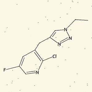 CCn1cc(Cc2cc(F)cnc2Cl)nn1